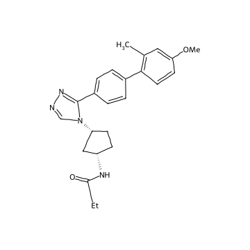 CCC(=O)N[C@H]1CC[C@@H](n2cnnc2-c2ccc(-c3ccc(OC)cc3C)cc2)C1